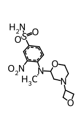 CN(c1ccc(S(N)(=O)=O)cc1[N+](=O)[O-])C1CN(C2COC2)CCO1